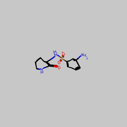 Nc1cccc(S(=O)(=O)NC2CCCNC2=O)c1